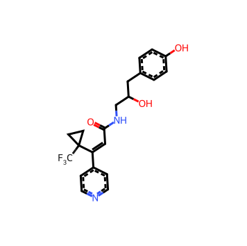 O=C(C=C(c1ccncc1)C1(C(F)(F)F)CC1)NCC(O)Cc1ccc(O)cc1